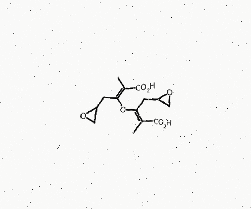 CC(C(=O)O)=C(CC1CO1)OC(CC1CO1)=C(C)C(=O)O